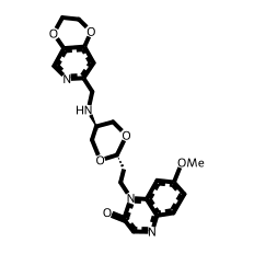 COc1ccc2ncc(=O)n(CC[C@H]3OC[C@H](NCc4cc5c(cn4)OCCO5)CO3)c2c1